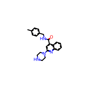 Cc1ccc(CNC(=O)c2cc(N3CCNCC3)nc3ccccc23)cc1